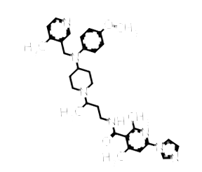 COc1ccc(N(Cc2cnccc2C)C2CCN(C(C)CCNC(=O)c3c(C)cc(-n4ccnc4)nc3C)CC2)cc1